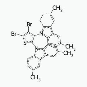 CC1=C=C=c2c(c3cc(C)ccc3n2-c2sc(Br)c(Br)c2-n2c3c(c4cc(C)ccc42)C=C(C)CC3)=C1